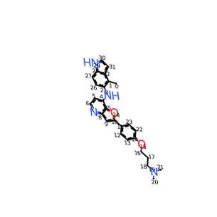 Cc1c(Nc2ccnc3cc(-c4ccc(OCCCN(C)C)cc4)oc23)ccc2[nH]ccc12